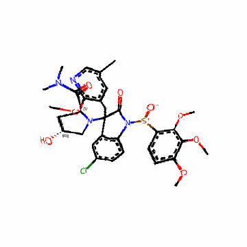 COc1ccc([S+]([O-])N2C(=O)C(c3cc(C)cnc3OC)(N3C[C@H](O)C[C@H]3C(=O)N(C)C)c3cc(Cl)ccc32)c(OC)c1OC